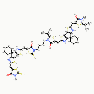 CCN1C(=O)/C(=C/c2nc3c(s2)-c2sc(/C=C4\SC(=S)N(CCCCn5c(=C(C#N)C#N)s/c(=C\c6nc7c(s6)-c6sc(/C=c8\sc(=C(C#N)C#N)n(CC)c8=O)nc6C76CCCCC6)c5=O)C4=O)nc2C32CCCCC2)SC1=S